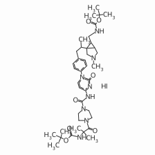 CC(Cc1ccc(-n2ccc(NC(=O)N3CCN(C(=O)C(C)(C)NC(=O)OC(C)(C)C)CC3)nc2=O)cc1)C12CN(C)CC1C2CNC(=O)OC(C)(C)C.I